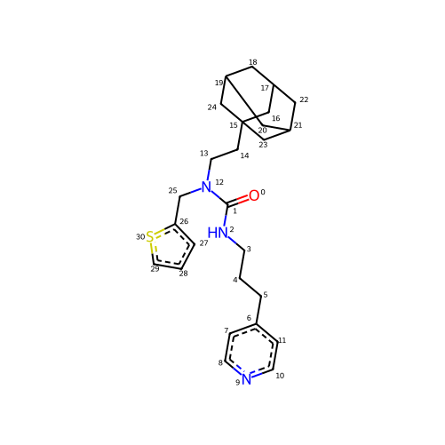 O=C(NCCCc1ccncc1)N(CCC12CC3CC(CC(C3)C1)C2)Cc1cccs1